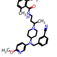 COc1ccc(N(Cc2cccc(C#N)c2)C2CCN(C(C)CCNC(=O)c3c(C)cccc3C)CC2)cn1